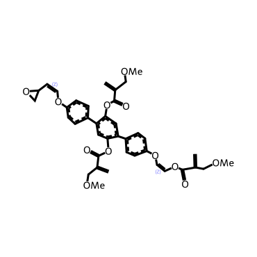 C=C(COC)C(=O)O/C=C\Oc1ccc(-c2cc(OC(=O)C(=C)COC)c(-c3ccc(O/C=C\C4CO4)cc3)cc2OC(=O)C(=C)COC)cc1